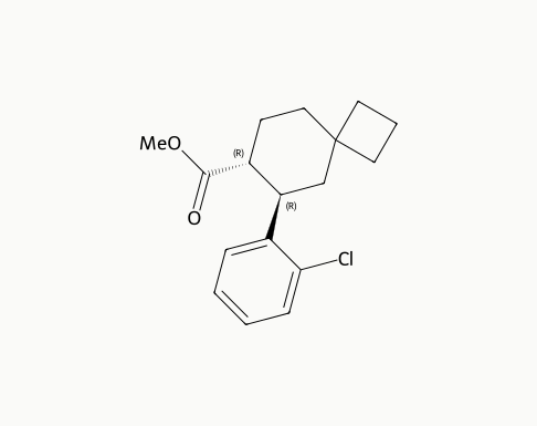 COC(=O)[C@@H]1CCC2(CCC2)C[C@H]1c1ccccc1Cl